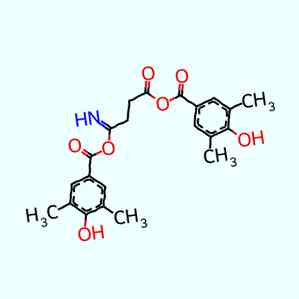 Cc1cc(C(=O)OC(=N)CCC(=O)OC(=O)c2cc(C)c(O)c(C)c2)cc(C)c1O